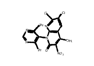 CC(C)c1ncnc(C(C)C)c1-n1c(=O)c([N+](=O)[O-])c(O)c2cc(Cl)c(Cl)nc21